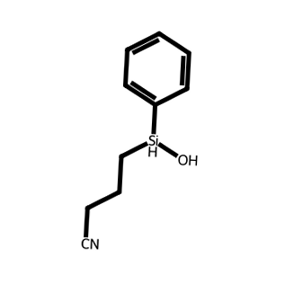 N#CCCC[SiH](O)c1ccccc1